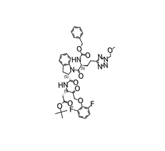 COCn1nnc(CC[C@H](NC(=O)OCc2ccccc2)C(=O)N2c3ccccc3C[C@H]2C(=O)N[C@@H](CC(=O)OC(C)(C)C)C(=O)COc2c(F)cccc2F)n1